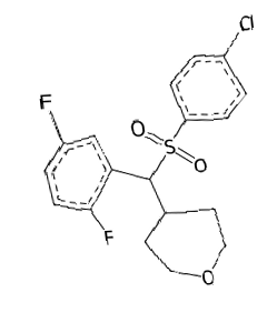 O=S(=O)(c1ccc(Cl)cc1)C(c1cc(F)ccc1F)C1CCOCC1